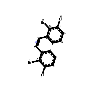 Clc1cccc(/C=C\c2cccc(Cl)c2Br)c1Br